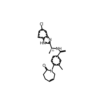 C=C(N[C@@H](C)c1nc2cc(Cl)ccc2[nH]1)c1ccc(N2CC=CCCC2=O)c(C)c1